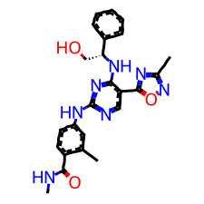 CNC(=O)c1ccc(Nc2ncc(-c3nc(C)no3)c(N[C@H](CO)c3ccccc3)n2)cc1C